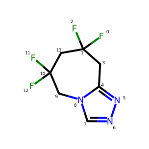 FC1(F)Cc2nncn2CC(F)(F)C1